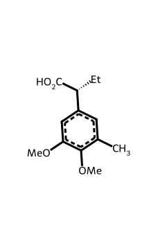 CC[C@@H](C(=O)O)c1cc(C)c(OC)c(OC)c1